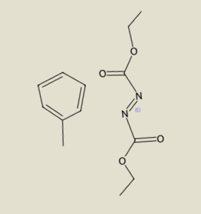 CCOC(=O)/N=N/C(=O)OCC.Cc1ccccc1